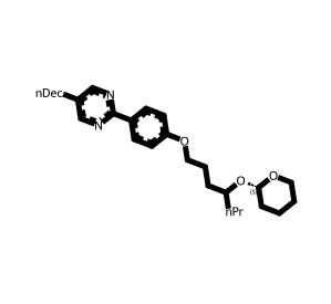 CCCCCCCCCCc1cnc(-c2ccc(OCCCC(CCC)O[C@H]3CCCCO3)cc2)nc1